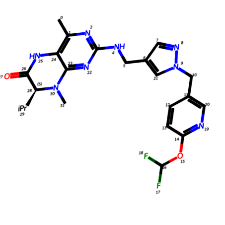 Cc1nc(NCc2cnn(Cc3ccc(OC(F)F)nc3)c2)nc2c1NC(=O)[C@H](C(C)C)N2C